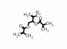 C=C(C)C(=O)OCC(OC(=O)C(=C)C)C(=C)C